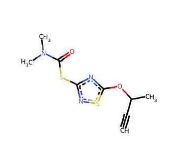 C#CC(C)Oc1nc(SC(=O)N(C)C)ns1